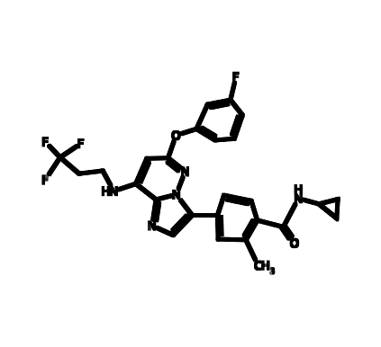 Cc1cc(-c2cnc3c(NCCC(F)(F)F)cc(Oc4cccc(F)c4)nn23)ccc1C(=O)NC1CC1